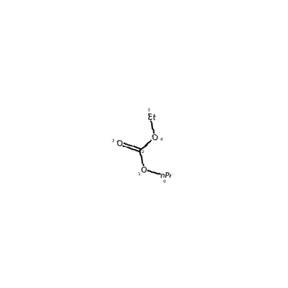 CCCOC(=O)OCC